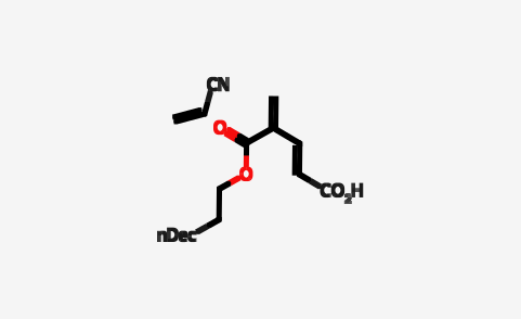 C=C(C=CC(=O)O)C(=O)OCCCCCCCCCCCC.C=CC#N